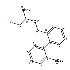 CCCCCCCCCCc1cncnc1-c1ccccc1COC(CF)CCCCCC